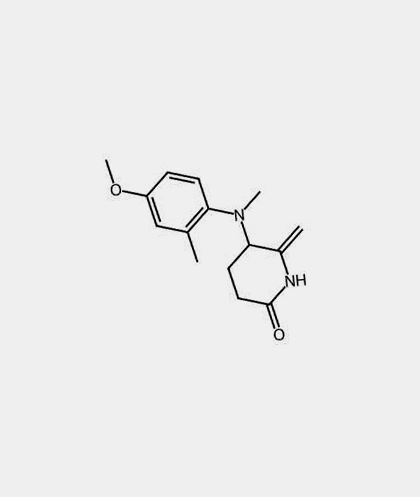 C=C1NC(=O)CCC1N(C)c1ccc(OC)cc1C